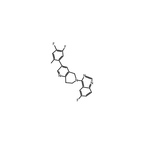 Cc1cc(F)c(F)cc1-c1cnc2c(c1)CN(c1ncnc3ccc(F)cc13)CC2